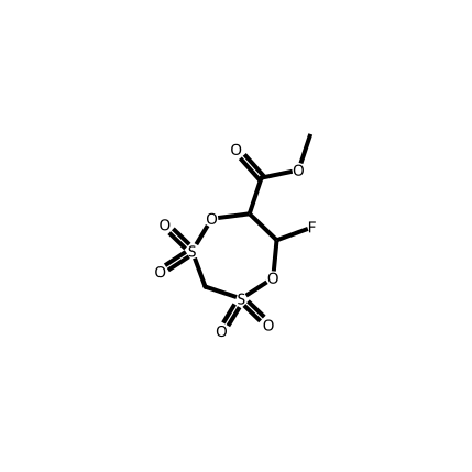 COC(=O)C1OS(=O)(=O)CS(=O)(=O)OC1F